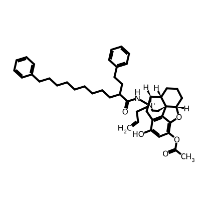 C=CC[N+]1(NC(=O)C(CCCCCCCCCc2ccccc2)CCc2ccccc2)CC[C@]23c4c5c(O)cc(OC(C)=O)c4O[C@H]2CCC[C@H]3[C@H]1C5